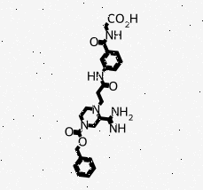 N=C(N)C1CN(C(=O)OCc2ccccc2)CCN1CCC(=O)Nc1cccc(C(=O)NCC(=O)O)c1